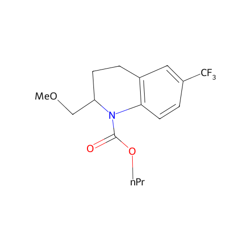 CCCOC(=O)N1c2ccc(C(F)(F)F)cc2CCC1COC